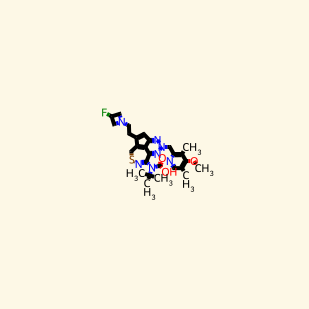 COc1c(C)cnc(Cn2nc3cc(CCN4CC(F)C4)c4c-3c(n2)C(N(C(=O)O)C(C)(C)C)=NSC4)c1C